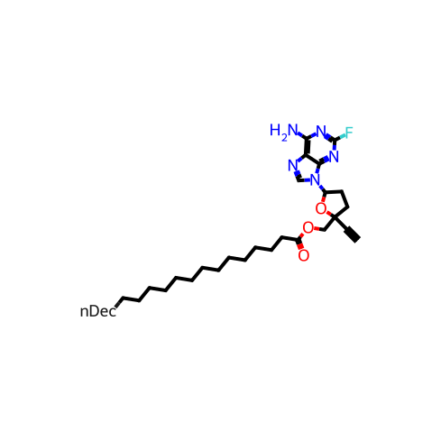 C#CC1(COC(=O)CCCCCCCCCCCCCCCCCCCCCCC)CCC(n2cnc3c(N)nc(F)nc32)O1